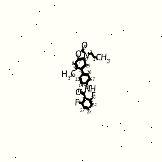 CCCn1c(=O)oc2cc(C)c(-c3ccc(NC(=O)c4c(F)cccc4F)cc3)cc21